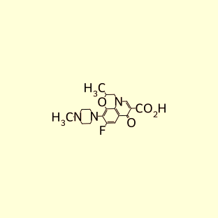 CC1Cn2cc(C(=O)O)c(=O)c3cc(F)c(N4CCN(C)CC4)c(c32)O1